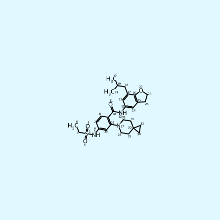 CCS(=O)(=O)Nc1ccc(C(=O)Nc2cc3c(c(CC(C)C)c2)OCC3)c(N2CCC3(CC2)CC3)c1